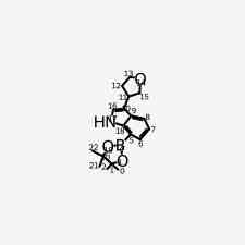 CC1(C)OB(c2cccc3c(C4CCOC4)c[nH]c23)OC1(C)C